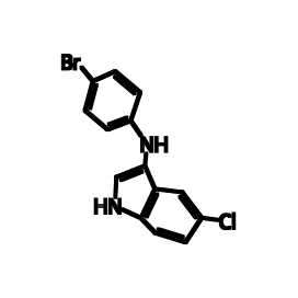 Clc1ccc2[nH]cc(Nc3ccc(Br)cc3)c2c1